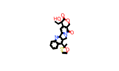 CC[C@@]1(O)C(=O)OCc2c1cc1n(c2=O)Cc2c-1nc1ccccc1c2C1(C)OC=CS1